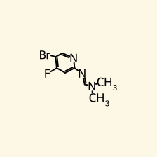 CN(C)/C=N/c1cc(F)c(Br)cn1